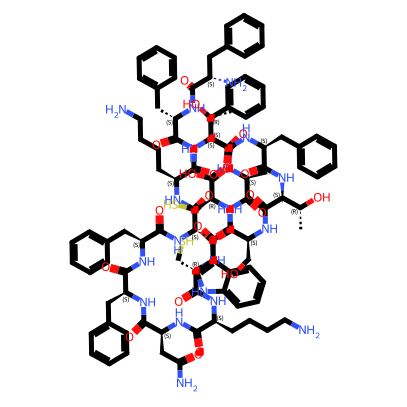 C[C@H](NC(=O)[C@H](Cc1ccccc1)NC(=O)[C@H](Cc1ccccc1)NC(=O)[C@@H](N)Cc1ccccc1)C(=O)NCC(=O)N[C@@H](CS)C(=O)N[C@@H](CCCCN)C(=O)N[C@@H](CC(N)=O)C(=O)N[C@@H](Cc1ccccc1)C(=O)N[C@@H](Cc1ccccc1)C(=O)N[C@@H](Cc1c[nH]c2ccccc12)C(=O)N[C@@H](CCCCN)C(=O)N[C@H](C(=O)N[C@@H](Cc1ccccc1)C(=O)N[C@H](C(=O)N[C@@H](CO)C(=O)N[C@@H](CS)C(=O)O)[C@@H](C)O)[C@@H](C)O